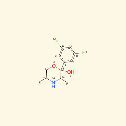 CC1COC(O)(c2cc(F)cc(F)c2)C(C)N1